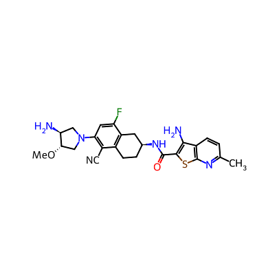 CO[C@H]1CN(c2cc(F)c3c(c2C#N)CC[C@H](NC(=O)c2sc4nc(C)ccc4c2N)C3)C[C@@H]1N